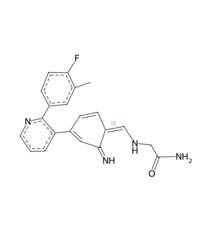 Cc1cc(-c2ncccc2C2=CC(=N)/C(=C\NCC(N)=O)C=C2)ccc1F